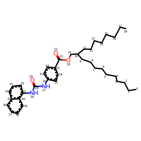 CCCCCCCCCCC(CCCCCCCC)COC(=O)c1ccc(NC(=O)Nc2cccc3ccccc23)cc1